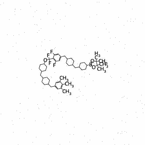 Cc1cc(CC2CCC(CC3CCC(OC(F)(F)c4c(F)cc(CC5CCC(CC6CCC(B7OC(C)(C)C(C)(C)O7)CC6)CC5)cc4F)CC3)CC2)cc(C)c1C